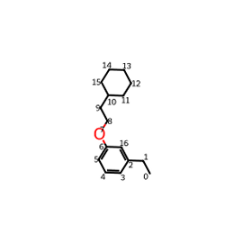 CCc1cccc(OCCC2CCCCC2)c1